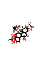 CC(O)(O)C1CCC2C3C(=O)CC4CC5(CC[C@]4(C)C3[C@H](O[Si](C)(C)C(C)(C)C)C[C@@]21C)OCCO5